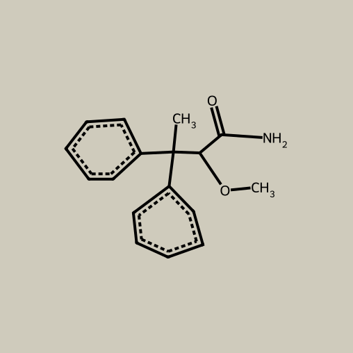 COC(C(N)=O)C(C)(c1ccccc1)c1ccccc1